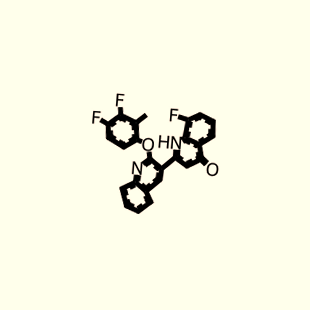 Cc1c(Oc2nc3ccccc3cc2-c2cc(=O)c3cccc(F)c3[nH]2)ccc(F)c1F